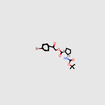 CC(C)(C)OC(=O)N[C@H]1CCC[C@@H]1C(=O)OCC(=O)c1ccc(Br)cc1